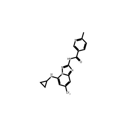 Cc1ccc(C(=O)Nc2nc3cc(C(F)(F)F)cc(NC4CC4)n3n2)cn1